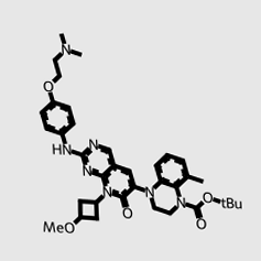 COC1CC(n2c(=O)c(N3CCN(C(=O)OC(C)(C)C)c4c(C)cccc43)cc3cnc(Nc4ccc(OCCN(C)C)cc4)nc32)C1